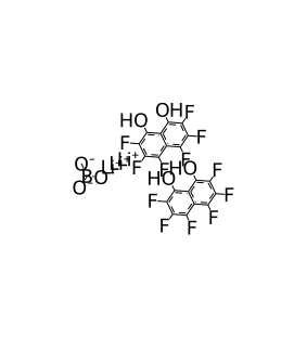 Oc1c(F)c(F)c(F)c2c(F)c(F)c(F)c(O)c12.Oc1c(F)c(F)c(F)c2c(F)c(F)c(F)c(O)c12.[Li+].[Li+].[Li+].[O-]B([O-])[O-]